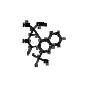 C=C1NC2C(c3c1c(C(C)(C)CC)cc1ccccc31)C2(O)OC